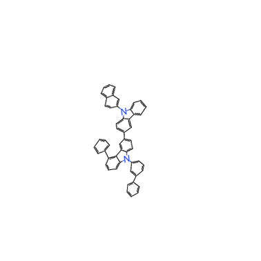 c1ccc(-c2cccc(-n3c4ccc(-c5ccc6c(c5)c5ccccc5n6-c5ccc6ccccc6c5)cc4c4c(-c5ccccc5)cccc43)c2)cc1